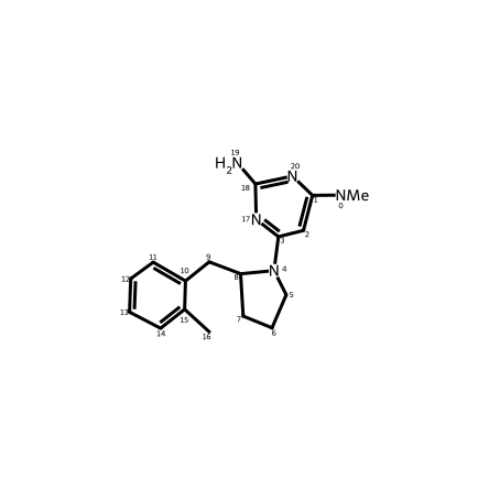 CNc1cc(N2CCCC2Cc2ccccc2C)nc(N)n1